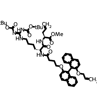 C=CCOc1ccc2ccccc2c1-c1c(OCCCC(=O)N[C@H](CCCCN/C(=N/C(=O)OC(C)(C)C)NC(=O)OC(C)(C)C)C(=O)N[C@@H](CC=C)C(=O)OC)ccc2ccccc12